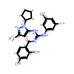 O=C(/N=C(/Nc1cc(F)cc(Cl)c1)Nc1cc(C(F)(F)F)nn1C1CCCC1)c1ccc(Cl)cc1Cl